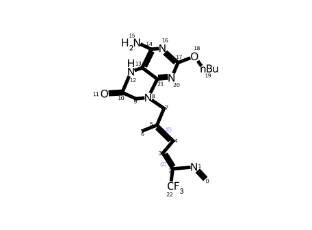 C=N/C(=C\C=C(/C)CN1CC(=O)Nc2c(N)nc(OCCCC)nc21)C(F)(F)F